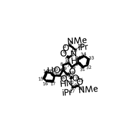 CNC(=O)[C@@H](NC(=O)[C@@H]1C[C@@]2(O)C(c3ccccc3)O[C@]2(C(=O)N[C@H](C(=O)NC)C(C)C)OC1c1ccccc1)C(C)C